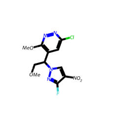 COCC(c1cc(Cl)nnc1OC)n1cc([N+](=O)[O-])c(F)n1